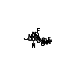 CCc1cnc2c(c1)c(C#N)c(-c1ccc(S(=O)(=O)N[C@@H](C)C(F)(F)F)cn1)n2-c1ncc(F)cn1